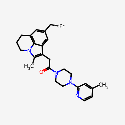 Cc1ccnc(N2CCN(C(=O)Cc3c(C)n4c5c(cc(CC(C)C)cc35)CCC4)CC2)c1